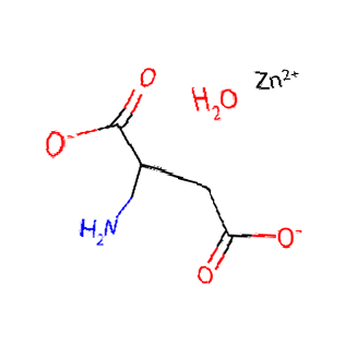 NC(CC(=O)[O-])C(=O)[O-].O.[Zn+2]